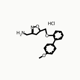 COc1ccc(-c2ccccc2OCC2CC(CN)=NO2)cc1.Cl